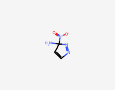 NC1([N+](=O)[O-])C=CN=N1